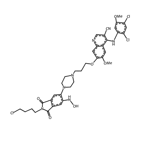 COc1cc(Nc2c(C#N)cnc3cc(OCCCN4CCN(c5cc6c(cc5NO)C(=O)N(CCCCCl)C6=O)CC4)c(OC)cc23)c(Cl)cc1Cl